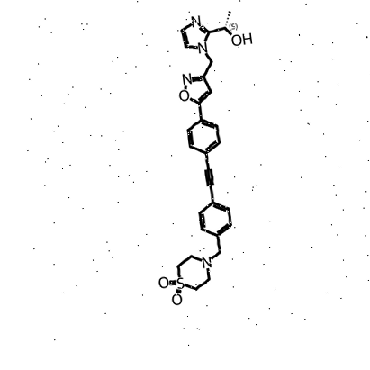 C[C@H](O)c1nccn1Cc1cc(-c2ccc(C#Cc3ccc(CN4CCS(=O)(=O)CC4)cc3)cc2)on1